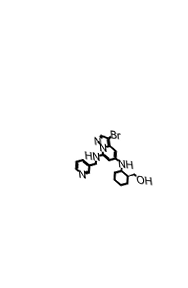 OC[C@H]1CCCC[C@H]1Nc1cc(NCc2cccnc2)n2ncc(Br)c2c1